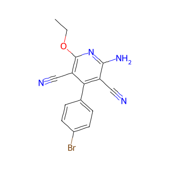 CCOc1nc(N)c(C#N)c(-c2ccc(Br)cc2)c1C#N